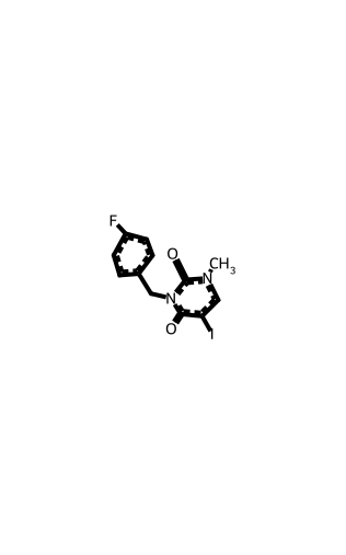 Cn1cc(I)c(=O)n(Cc2ccc(F)cc2)c1=O